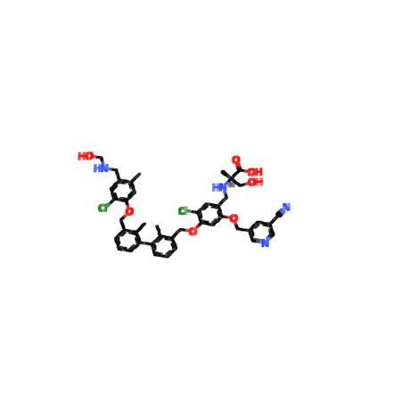 Cc1cc(OCc2cccc(-c3cccc(COc4cc(OCc5cncc(C#N)c5)c(CN[C@@](C)(CO)C(=O)O)cc4Cl)c3C)c2C)c(Cl)cc1CNCO